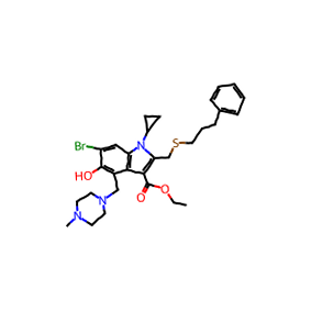 CCOC(=O)c1c(CSCCCc2ccccc2)n(C2CC2)c2cc(Br)c(O)c(CN3CCN(C)CC3)c12